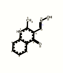 Cc1[nH]c2ccccc2c(=O)c1/C=N/O